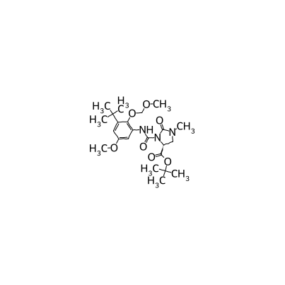 COCOc1c(NC(=O)N2C(=O)N(C)C[C@H]2C(=O)OC(C)(C)C)cc(OC)cc1C(C)(C)C